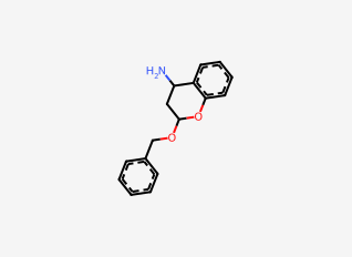 NC1CC(OCc2ccccc2)Oc2ccccc21